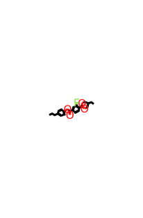 CCCc1ccc(OC(=O)c2ccc(C3OCC(CC)CO3)c(F)c2)cc1